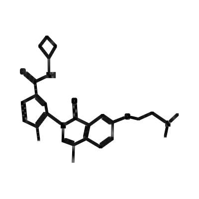 Cc1ccc(C(=O)NC2CCC2)cc1-n1cc(C)c2ccc(OCCN(C)C)cc2c1=O